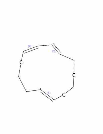 [C]1=C/CCCC/C=C/C=C\CCC/1